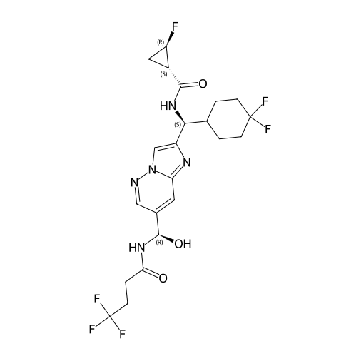 O=C(CCC(F)(F)F)N[C@H](O)c1cnn2cc([C@@H](NC(=O)[C@@H]3C[C@H]3F)C3CCC(F)(F)CC3)nc2c1